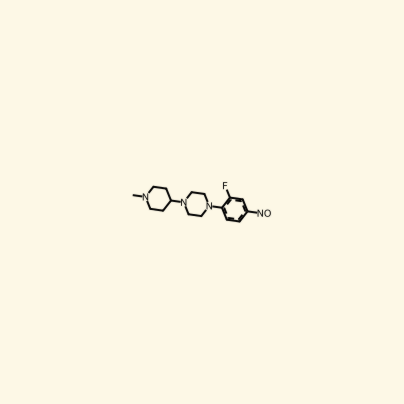 CN1CCC(N2CCN(c3ccc(N=O)cc3F)CC2)CC1